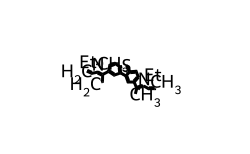 C=C/C(=C(\C=C)N(C)CC)c1ccc2sc3cc4c(cc3c2c1)c(C)c(/C=C\C)n4CC